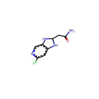 NC(=O)CC1Nc2cnc(Cl)cc2N1